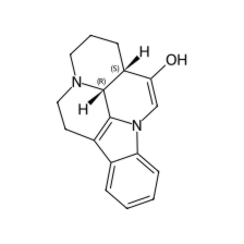 OC1=Cn2c3c(c4ccccc42)CCN2CCC[C@H]1[C@H]32